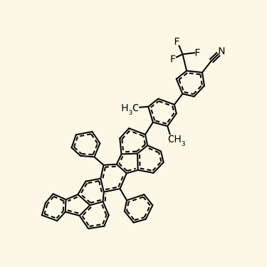 Cc1cc(-c2ccc(C#N)c(C(F)(F)F)c2)cc(C)c1-c1ccc2c3c(-c4ccccc4)c4cc5c6ccccc6c6cccc(c4c(-c4ccccc4)c3c3cccc1c23)c65